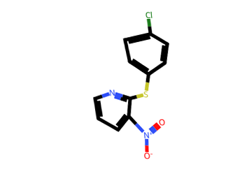 O=[N+]([O-])c1cccnc1Sc1ccc(Cl)cc1